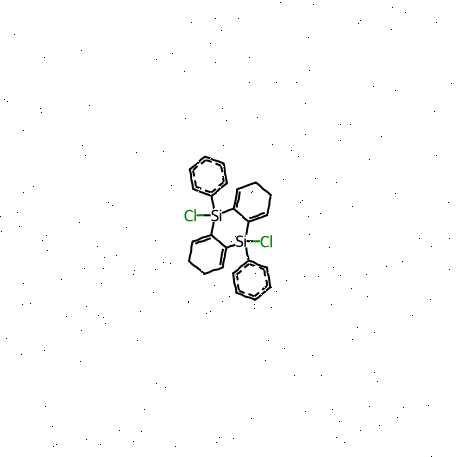 Cl[Si]1(c2ccccc2)C2=CCCC=C2[Si](Cl)(c2ccccc2)C2=CCCC=C21